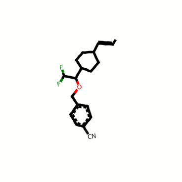 C/C=C/C1CCC(C(OCc2ccc(C#N)cc2)C(F)F)CC1